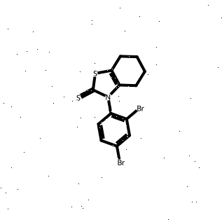 S=c1sc2c(n1-c1ccc(Br)cc1Br)CCCC2